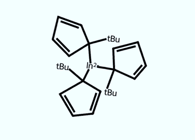 CC(C)(C)[C]1([In-2]([C]2(C(C)(C)C)C=CC=C2)[C]2(C(C)(C)C)C=CC=C2)C=CC=C1